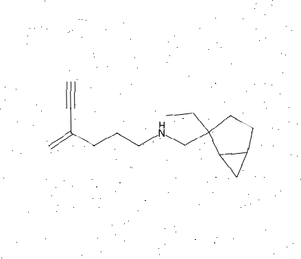 C#CC(=C)CCCNCC1(CC)CCC2CC21